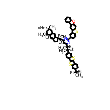 CCCCCCC1(C)Cc2cc3c(cc2C(C)(C)C1)CCC3(CC)C(C)(CC)c1cc(C(C)(CC)C(C)(CC)c2ccc3c(c2)sc2c4ccc(C(C)(CC)CC)cc4sc32)nc(-c2ccc3sc4cc5oc6ccccc6c5cc4c3c2)n1